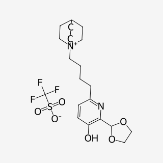 O=S(=O)([O-])C(F)(F)F.Oc1ccc(CCCC[N+]23CCC(CC2)CC3)nc1C1OCCO1